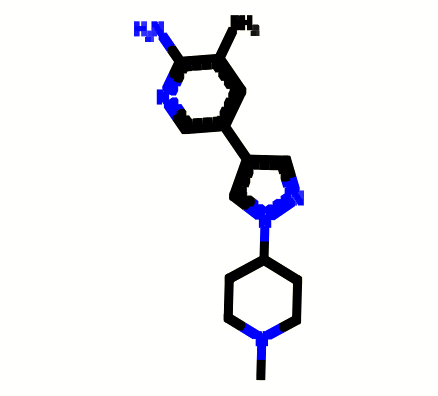 Bc1cc(-c2cnn(C3CCN(C)CC3)c2)cnc1N